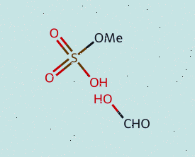 COS(=O)(=O)O.O=CO